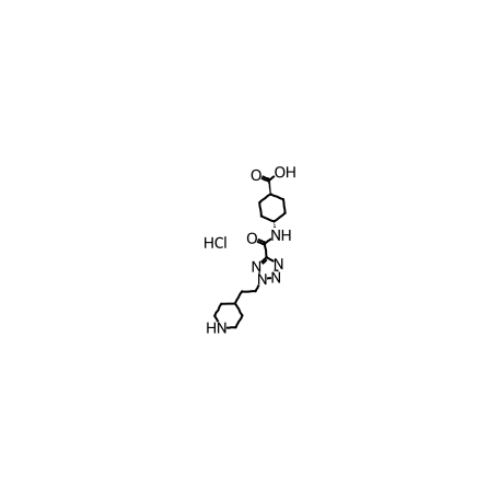 Cl.O=C(N[C@H]1CC[C@H](C(=O)O)CC1)c1nnn(CCC2CCNCC2)n1